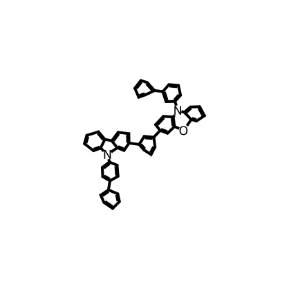 c1ccc(-c2ccc(-n3c4ccccc4c4ccc(-c5cccc(-c6ccc7c(c6)Oc6ccccc6N7c6cccc(-c7ccccc7)c6)c5)cc43)cc2)cc1